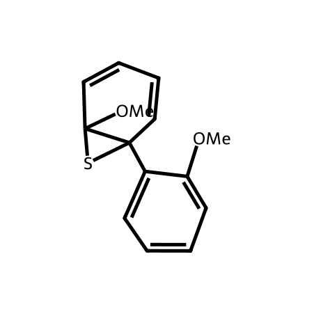 COc1ccccc1C12C=CC=CC1(OC)S2